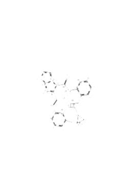 COc1cccc(C=Cc2nc3sccn3c2C(=O)N2CCCc3ccccc32)c1OCC1CC1